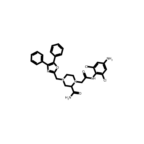 NC(=O)C1CN(Cc2nc(-c3ccccc3)c(-c3ccccc3)o2)CCN1CC(=O)Nc1c(Cl)cc(N)cc1Cl